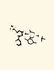 CC1CCC(Cn2c(N3CCN(C(=O)OC(C)(C)C)CC3C)nc3cc(-c4noc(=O)[nH]4)nc(-c4cncc(Cl)c4)c32)CC1